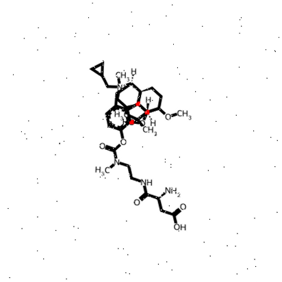 COC12CC[C@@]3(C[C@@H]1C(C)(C)O)[C@H]1Cc4ccc(OC(=O)N(C)CCNC(=O)[C@@H](N)CC(=O)O)c5c4[C@@]3(CC[N+]1(C)CC1CC1)[C@H]2O5